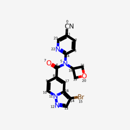 N#Cc1ccc(N(C(=O)c2ccn3ncc(Br)c3c2)C2COC2)nc1